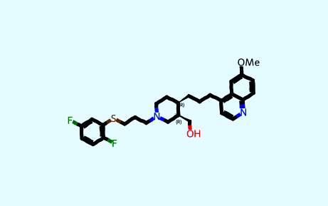 COc1ccc2nccc(CCC[C@@H]3CCN(CCCSc4cc(F)ccc4F)C[C@@H]3CO)c2c1